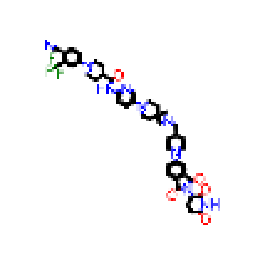 N#Cc1ccc(N2CCC(C(=O)Nc3ccc(N4CCC5(CC4)CN(CC4CCN(c6ccc7c(c6)C(=O)N(C6CCC(=O)NC6=O)C7=O)CC4)C5)cn3)CC2)cc1C(F)(F)F